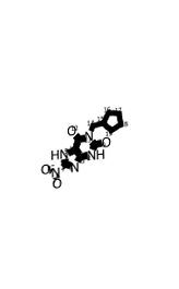 O=c1[nH]c2nc([N+](=O)[O-])[nH]c2c(=O)n1CC1CCCC1